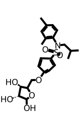 Cc1ccc(N(CC(C)C)S(=O)(=O)c2ccc(OCC3OC(O)[C@H](O)[C@H]3O)cc2)c(C)c1